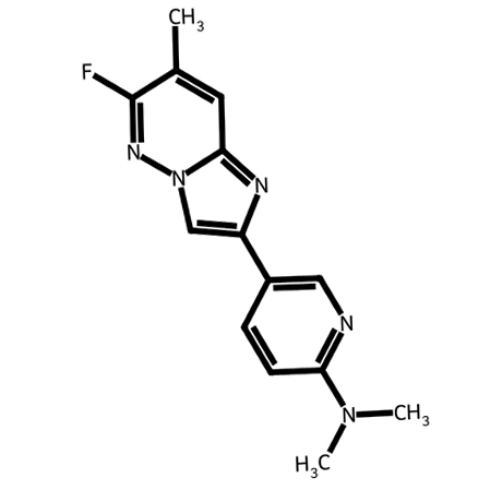 Cc1cc2nc(-c3ccc(N(C)C)nc3)cn2nc1F